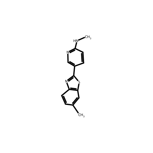 CNc1ccc(-c2nc3ccc(C)cc3s2)cn1